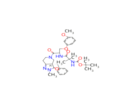 COc1cccc(OCC(NC(=O)C(C)(C)NC(=O)OC(C)(C)C)C(=O)N2CCC3=NN(C)C(=O)[C@]3(Cc3ccccc3)C2)c1